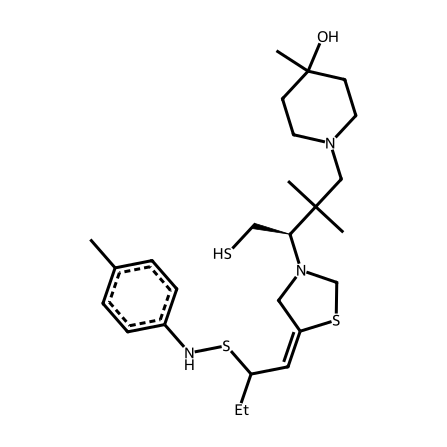 CCC(/C=C1\CN([C@@H](CS)C(C)(C)CN2CCC(C)(O)CC2)CS1)SNc1ccc(C)cc1